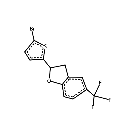 FC(F)(F)c1ccc2c(c1)CC(c1ccc(Br)s1)O2